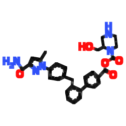 Cc1cc(C(N)=O)nn1-c1ccc(Cc2ccccc2-c2ccc(C(=O)OC(=O)N3CCNCC3CO)cc2)cc1